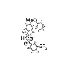 COc1cnccc1-c1cccc(C(C)(C)NS(=O)(=O)c2cccc(C(F)(F)F)c2)c1